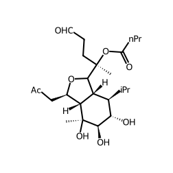 CCCC(=O)O[C@](C)(CCC=O)C1O[C@H](CC(C)=O)[C@@H]2[C@H]1[C@@H](C(C)C)[C@H](O)[C@@H](O)[C@@]2(C)O